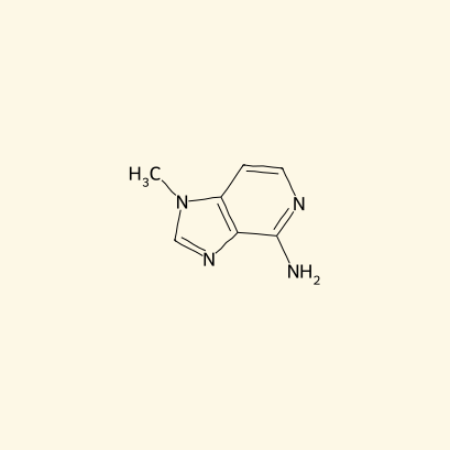 Cn1cnc2c(N)nccc21